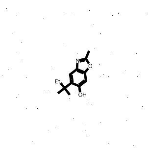 CCC(C)(C)c1cc2nc(C)oc2cc1O